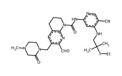 CCSC(C)(C)CNc1cc(NC(=O)N2CCCc3cc(CN4CCN(C)CC4=O)c(C=O)nc32)ncc1C#N